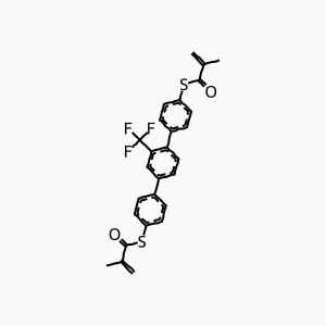 C=C(C)C(=O)Sc1ccc(-c2ccc(-c3ccc(SC(=O)C(=C)C)cc3)c(C(F)(F)F)c2)cc1